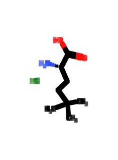 CC(C)(C)CC[C@H](N)C(=O)O.Cl